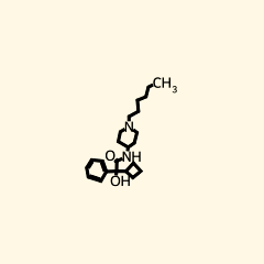 CCCCCCN1CCC(NC(=O)C(O)(c2ccccc2)C2CCC2)CC1